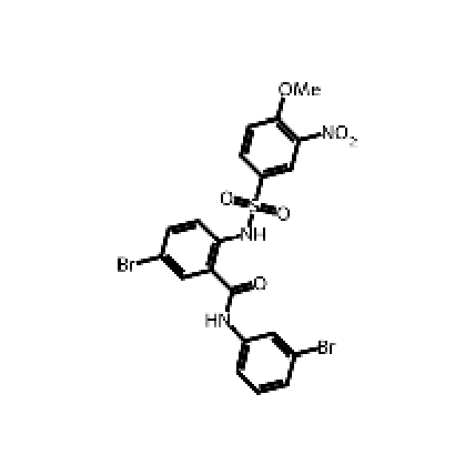 COc1ccc(S(=O)(=O)Nc2ccc(Br)cc2C(=O)Nc2cccc(Br)c2)cc1[N+](=O)[O-]